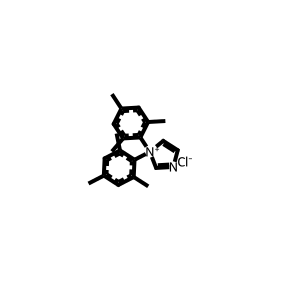 Cc1cc(C)c([N+]2(c3c(C)cc(C)cc3C)C=CN=C2)c(C)c1.[Cl-]